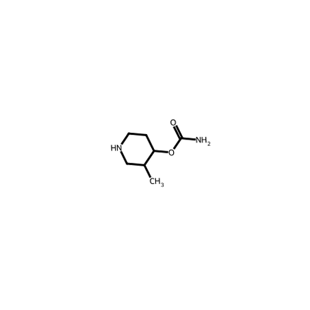 CC1CNCCC1OC(N)=O